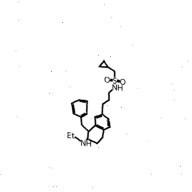 CCNC1CCc2ccc(CCCNS(=O)(=O)CC3CC3)cc2C1Cc1ccccc1